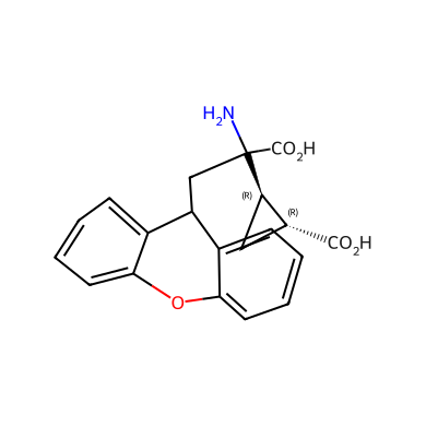 NC(CC1c2ccccc2Oc2ccccc21)(C(=O)O)[C@@H]1C[C@H]1C(=O)O